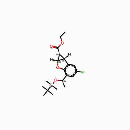 CCOC(=O)[C@@H]1[C@H]2Oc3c(cc(F)cc3[C@@H](C)O[Si](C)(C)C(C)(C)C)[C@H]21